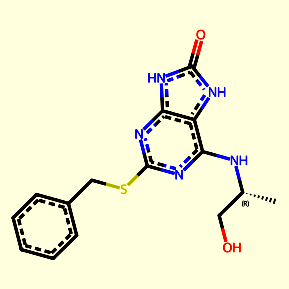 C[C@H](CO)Nc1nc(SCc2ccccc2)nc2[nH]c(=O)[nH]c12